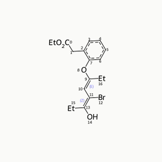 CCOC(=O)Cc1ccccc1O/C(=C/C(Br)=C(/O)CC)CC